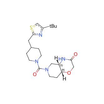 CC(C)(C)c1csc(CC2CCN(C(=O)N3CC[C@H]4OCC(=O)N[C@H]4C3)CC2)n1